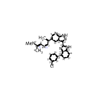 C=C(/C=N\C=C(/C)NC)c1cnc2[nH]nc(-c3nc4c(-c5cccc(Cl)c5)cccc4[nH]3)c2c1